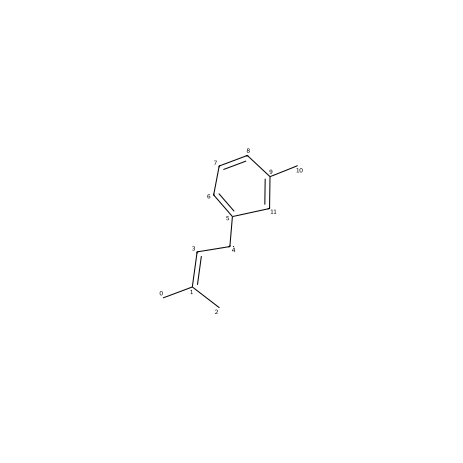 CC(C)=C[CH]c1cccc(C)c1